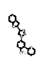 Cc1ccc(-n2cc(-c3cc4ccccc4o3)nn2)cc1-c1ccccn1